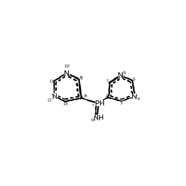 N=[PH](c1cncnc1)c1cncnc1